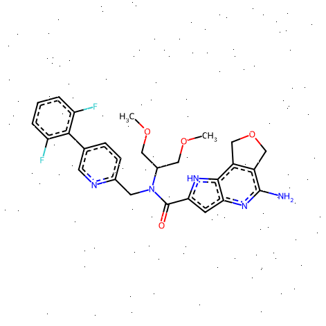 COCC(COC)N(Cc1ccc(-c2c(F)cccc2F)cn1)C(=O)c1cc2nc(N)c3c(c2[nH]1)COC3